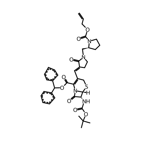 C=CCOC(=O)N1CCC[C@H]1CN1CC/C(=C\C2=C(C(=O)OC(c3ccccc3)c3ccccc3)N3C(=O)[C@@H](NC(=O)OC(C)(C)C)[C@H]3SC2)C1=O